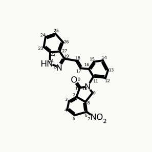 O=C1c2cccc([N+](=O)[O-])c2CN1c1ccccc1/C=C/c1n[nH]c2ccccc12